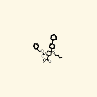 CCCCS[C@@]1(c2ccc(-c3ccccc3)cc2)CC(C(=O)OC)N(C(=O)OCc2ccccc2)C1